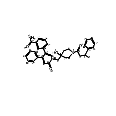 CC(CC(=O)N1CCC(O)(Cn2cc(-c3cccc(C(N)=O)c3)c(-c3ccccc3)cc2=O)CC1)c1ccccc1